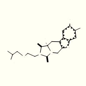 CC(C)CNCCN1C(=O)N2Cc3[nH]c4cc(F)c(Cl)cc4c3C[C@@]2(C)C1=O